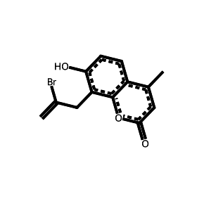 C=C(Br)Cc1c(O)ccc2c(C)cc(=O)oc12